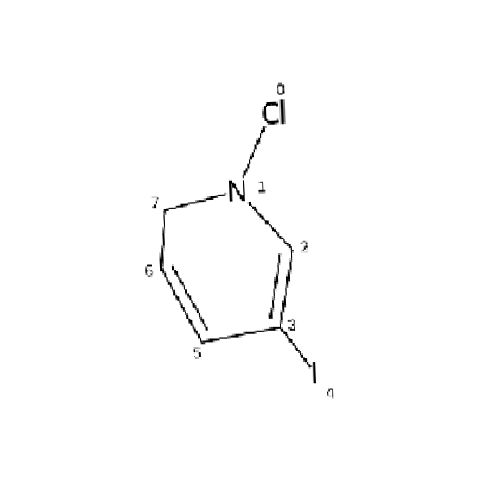 ClN1C=C(I)C=CC1